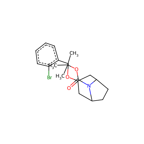 CC(C)(C)OC(=O)N1C2CCC1CC(OCc1ccccc1Br)C2